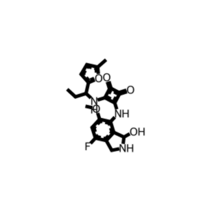 CCC(Nc1c(Nc2c(OC)cc(F)c3c2C(O)NC3)c(=O)c1=O)c1ccc(C)o1